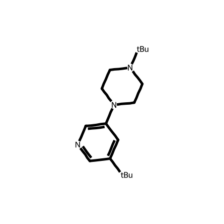 CC(C)(C)c1cncc(N2CCN(C(C)(C)C)CC2)c1